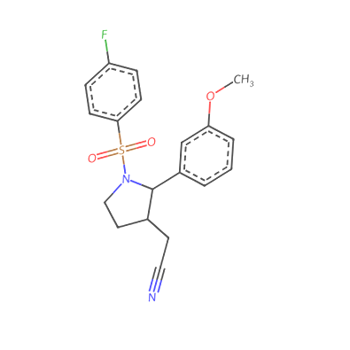 COc1cccc(C2C(CC#N)CCN2S(=O)(=O)c2ccc(F)cc2)c1